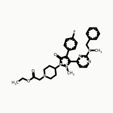 CCOC(=O)CN1CCC(n2c(=O)c(-c3ccc(F)cc3)c(-c3ccnc(N(C)Cc4ccccc4)n3)n2C)CC1